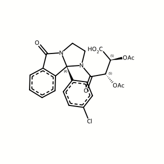 CC(=O)O[C@H](C(=O)O)[C@H](OC(C)=O)C(=O)N1CCN2C(=O)c3ccccc3[C@]21c1ccc(Cl)cc1